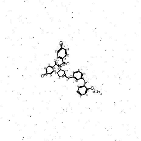 COc1ccccc1Oc1cccc(CN2CCC(N(C(=O)c3ccc(Cl)cc3)C(=O)c3ccc(Cl)cc3)C2)c1